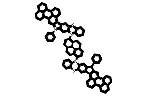 C1=Cc2ccc(N3c4ccccc4Sc4cc5c(cc43)C(c3ccccc3)c3cc4c6cccc7cccc(c8cccc(c3-5)c84)c76)c3c2C2C1=C(n1c4ccccc4sc4cc5c6c7cccc8c9cccc%10cccc(c(cc6n(-c6ccccc6)c5cc41)c87)c%109)C=CC2C=C3